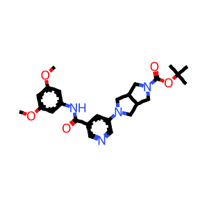 COc1cc(NC(=O)c2cncc(N3CC4CN(C(=O)OC(C)(C)C)CC4C3)c2)cc(OC)c1